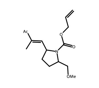 C=CCOC(=O)N1C(C=C(C)C(C)=O)CCC1COC